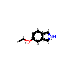 CCOc1ccc2c[nH]cc2c1